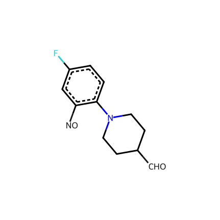 O=CC1CCN(c2ccc(F)cc2N=O)CC1